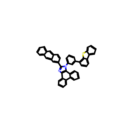 c1cc(-c2cccc3c2sc2ccccc23)cc(-n2c(-c3ccc4cc5ccccc5cc4c3)nc3c4ccccc4c4ccccc4c32)c1